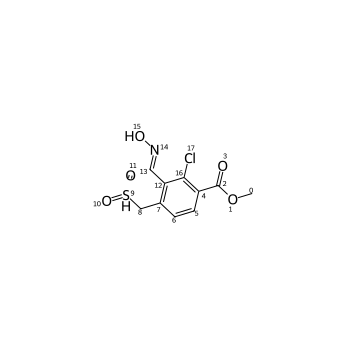 COC(=O)c1ccc(C[SH](=O)=O)c(C=NO)c1Cl